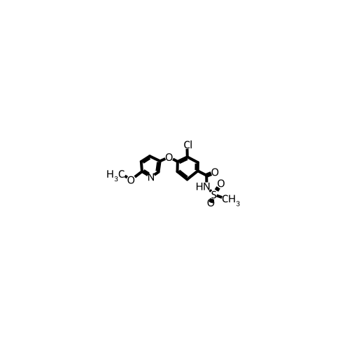 COc1ccc(Oc2ccc(C(=O)NS(C)(=O)=O)cc2Cl)cn1